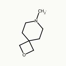 [CH2]N1CCC2(CC1)COC2